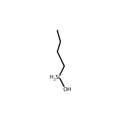 [CH2]CCC[SiH2]O